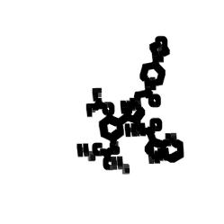 CC(C)Sc1ccc(OC(F)F)c(-c2nn(CC(=O)N3CCC(N4COC4)CC3)cc2NC(=O)c2cnn3cccnc23)c1